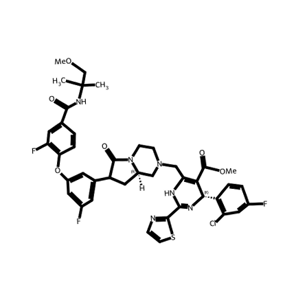 COCC(C)(C)NC(=O)c1ccc(Oc2cc(F)cc(C3C[C@@H]4CN(CC5=C(C(=O)OC)[C@H](c6ccc(F)cc6Cl)N=C(c6nccs6)N5)CCN4C3=O)c2)c(F)c1